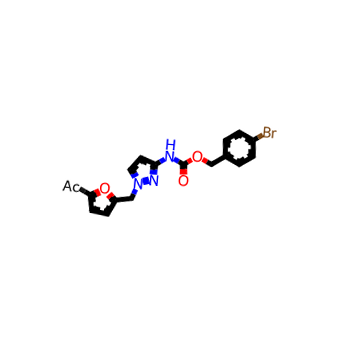 CC(=O)c1ccc(Cn2ccc(NC(=O)OCc3ccc(Br)cc3)n2)o1